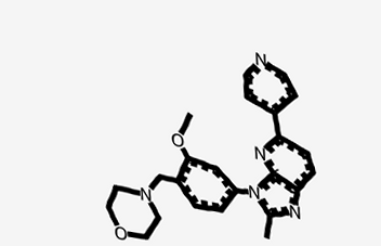 COc1cc(-n2c(C)nc3ccc(-c4ccncc4)nc32)ccc1CN1CCOCC1